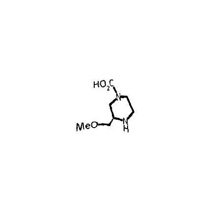 COC[C@H]1CN(C(=O)O)CCN1